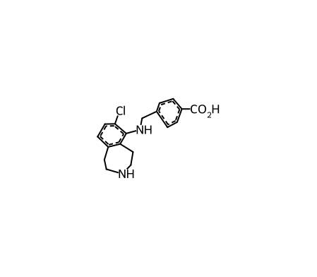 O=C(O)c1ccc(CNc2c(Cl)ccc3c2CCNCC3)cc1